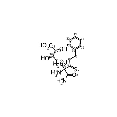 CC(N)(C(N)=O)C(=S)CCc1ccccc1.O=C(O)C(O)C(O)C(=O)O